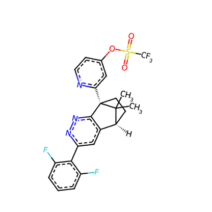 CC1(C)[C@H]2CC[C@]1(c1cc(OS(=O)(=O)C(F)(F)F)ccn1)c1nnc(-c3c(F)cccc3F)cc12